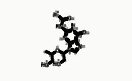 CC(CO)OC(CO)n1cnc2c(=O)[nH]c(NC(=O)C(C)C)nc21